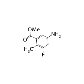 COC(=O)c1cc(N)cc(F)c1C